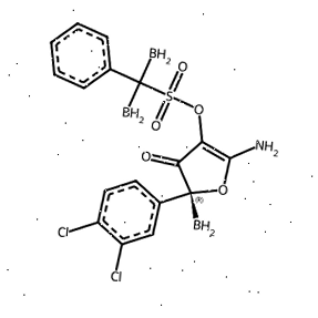 BC(B)(c1ccccc1)S(=O)(=O)OC1=C(N)O[C@](B)(c2ccc(Cl)c(Cl)c2)C1=O